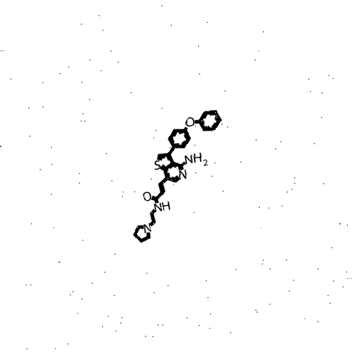 Nc1ncc(C=CC(=O)NCCN2CCCC2)c2scc(-c3ccc(Oc4ccccc4)cc3)c12